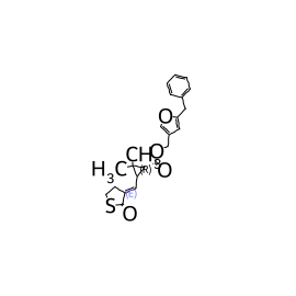 CC1(C)C(/C=C2\CCSC2=O)[C@H]1C(=O)OCc1coc(Cc2ccccc2)c1